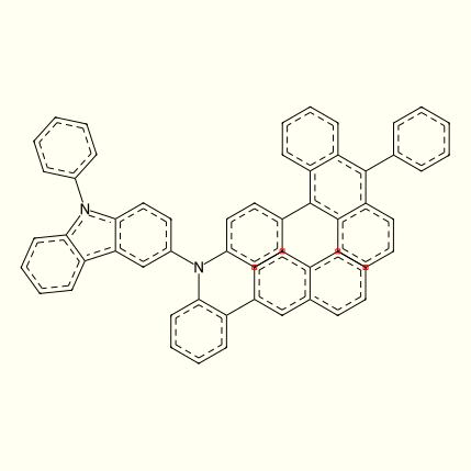 c1ccc(-c2c3ccccc3c(-c3ccc(N(c4ccc5c(c4)c4ccccc4n5-c4ccccc4)c4ccccc4-c4ccc5ccccc5c4)cc3)c3ccccc23)cc1